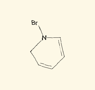 BrN1C=CC=CC1